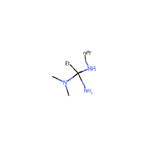 CCCNC(N)(CC)N(C)C